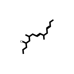 CC/C=C/CC(C)/C=C/CC(C)CC(Cl)CCC